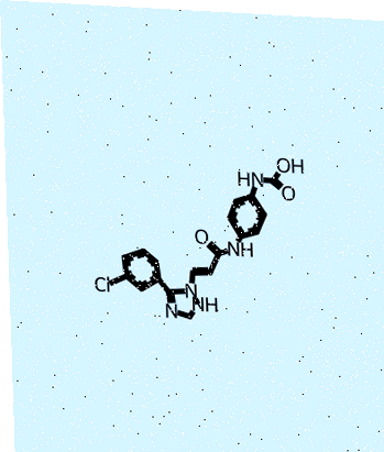 O=C(O)Nc1ccc(NC(=O)C=CN2NCN=C2c2cccc(Cl)c2)cc1